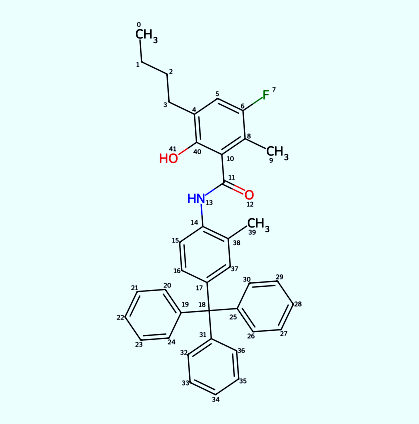 CCCCc1cc(F)c(C)c(C(=O)Nc2ccc(C(c3ccccc3)(c3ccccc3)c3ccccc3)cc2C)c1O